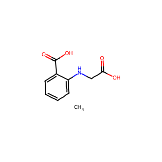 C.O=C(O)CNc1ccccc1C(=O)O